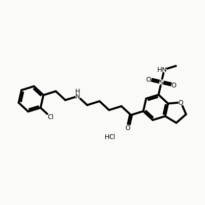 CNS(=O)(=O)c1cc(C(=O)CCCCNCCc2ccccc2Cl)cc2c1OCC2.Cl